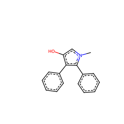 Cn1cc(O)c(-c2ccccc2)c1-c1ccccc1